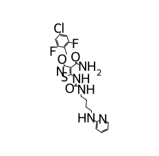 NC(=O)c1c(OCc2c(F)cc(Cl)cc2F)nsc1NC(=O)NCCCCNc1ccccn1